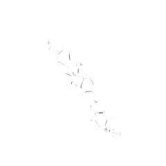 CCOc1cccc(C=C2Oc3cc(OCc4ccc(C(C)(C)C)cc4)ccc3C2=O)c1